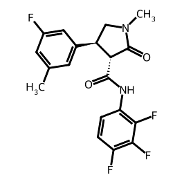 Cc1cc(F)cc([C@H]2CN(C)C(=O)[C@@H]2C(=O)Nc2ccc(F)c(F)c2F)c1